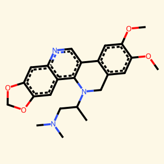 COc1cc2c(cc1OC)-c1cnc3cc4c(cc3c1N(C(C)CN(C)C)C2)OCO4